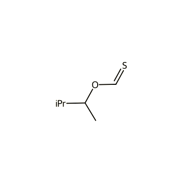 CC(C)C(C)OC=S